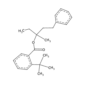 CCC(C)(CCc1ccccc1)OC(=O)c1ccccc1C(C)(C)C